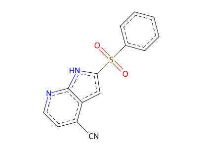 N#Cc1ccnc2[nH]c(S(=O)(=O)c3ccccc3)cc12